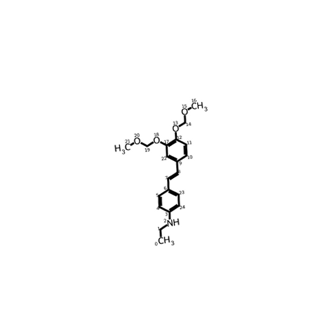 CCNc1ccc(C=Cc2ccc(OCOC)c(OCOC)c2)cc1